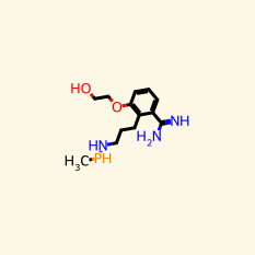 CPNCCCc1c(OCCO)cccc1C(=N)N